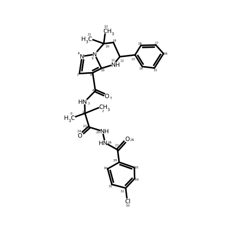 CC(C)(NC(=O)c1cnn2c1NC(c1ccccc1)CC2(C)C)C(=O)NNC(=O)c1ccc(Cl)cc1